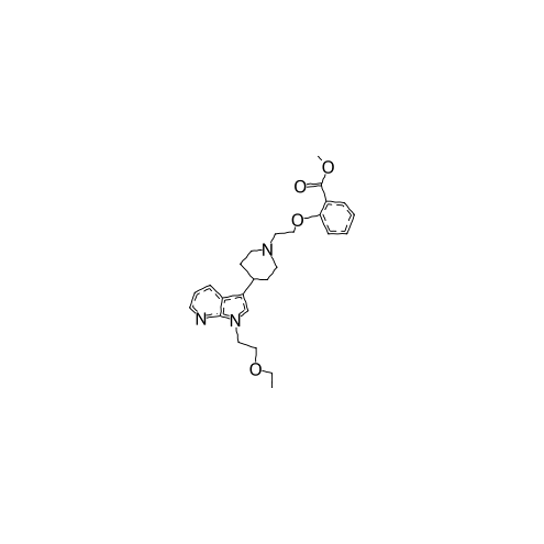 CCOCCn1cc(C2CCN(CCOc3ccccc3C(=O)OC)CC2)c2cccnc21